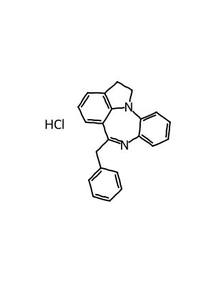 Cl.c1ccc(CC2=Nc3ccccc3N3CCc4cccc2c43)cc1